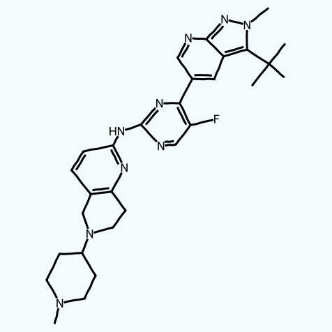 CN1CCC(N2CCc3nc(Nc4ncc(F)c(-c5cnc6nn(C)c(C(C)(C)C)c6c5)n4)ccc3C2)CC1